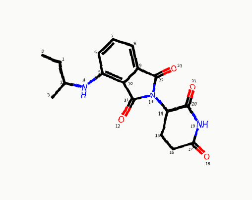 CCC(C)Nc1cccc2c1C(=O)N(C1CCC(=O)NC1=O)C2=O